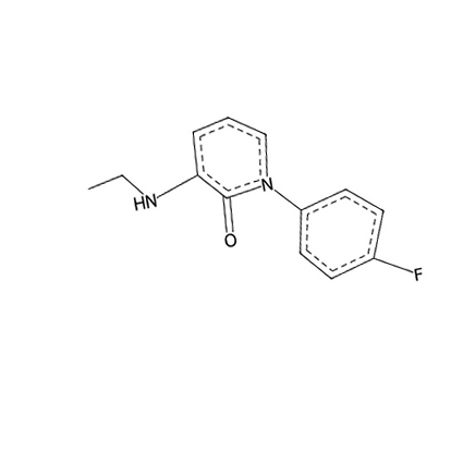 CCNc1cccn(-c2ccc(F)cc2)c1=O